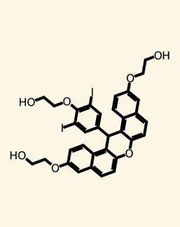 OCCOc1ccc2c3c(ccc2c1)Oc1ccc2cc(OCCO)ccc2c1C3c1cc(I)c(OCCO)c(I)c1